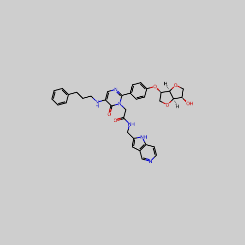 O=C(Cn1c(-c2ccc(O[C@@H]3CO[C@H]4[C@@H]3OC[C@H]4O)cc2)ncc(NCCCc2ccccc2)c1=O)NCc1cc2cnccc2[nH]1